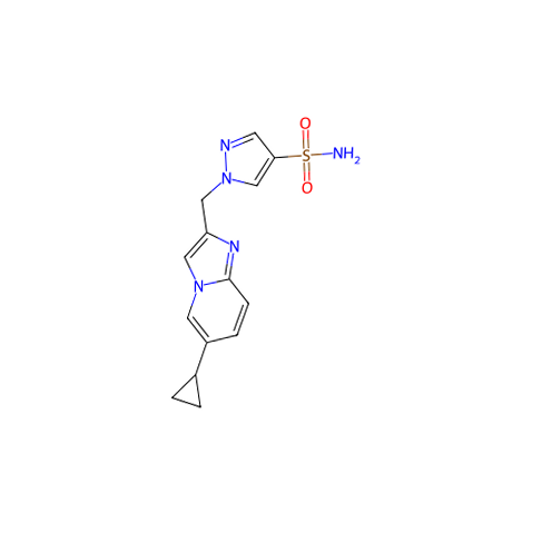 NS(=O)(=O)c1cnn(Cc2cn3cc(C4CC4)ccc3n2)c1